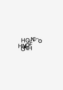 O=c1[nH]c2cc(F)c(C(O)CCN3CCC(Cc4ccccc4)CC3)cc2[nH]1